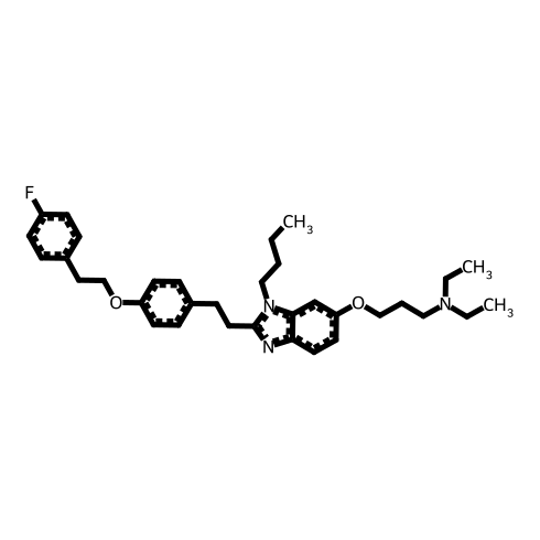 CCCCn1c(CCc2ccc(OCCc3ccc(F)cc3)cc2)nc2ccc(OCCCN(CC)CC)cc21